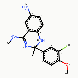 CNC1=NC(C)(c2ccc(OC)c(F)c2)Nc2ccc(N)cc21